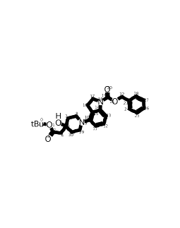 CC(C)(C)OC(=O)CC1(O)CCN(c2cccc3c2CCN3C(=O)OCc2ccccc2)CC1